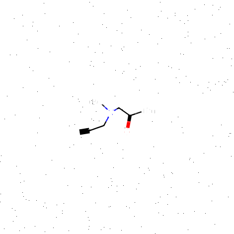 C#CCN(CC(=O)C(C)(C)C)C(C)(C)C